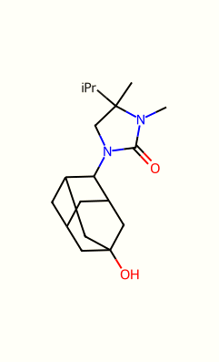 CC(C)C1(C)CN(C2C3CC4CC2CC(O)(C4)C3)C(=O)N1C